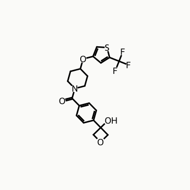 O=C(c1ccc(C2(O)COC2)cc1)N1CCC(Oc2csc(C(F)(F)F)c2)CC1